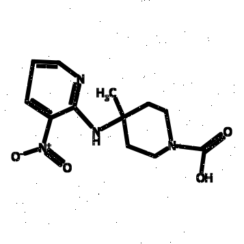 CC1(Nc2ncccc2[N+](=O)[O-])CCN(C(=O)O)CC1